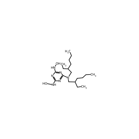 CCCCC(CC)CN(CC(CC)CCCC)c1nc(NO)nc(NO)n1